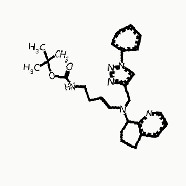 CC(C)(C)OC(=O)NCCCCN(Cc1cn(-c2ccccc2)nn1)C1CCCc2cccnc21